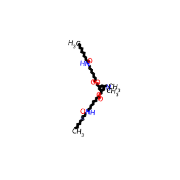 CCCCCC/C=C/CC(=O)NCCCCCCCC(=O)OCc1cc(COC(=O)CCCCCCCNC(=O)CCCCCCCCC)cc(CN(C)C)c1